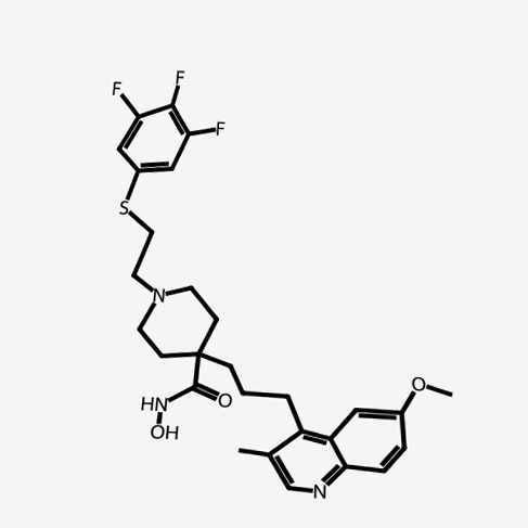 COc1ccc2ncc(C)c(CCCC3(C(=O)NO)CCN(CCSc4cc(F)c(F)c(F)c4)CC3)c2c1